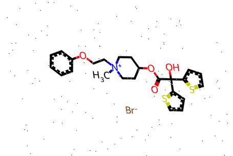 C[N+]1(CCOc2ccccc2)CCC(OC(=O)C(O)(c2cccs2)c2cccs2)CC1.[Br-]